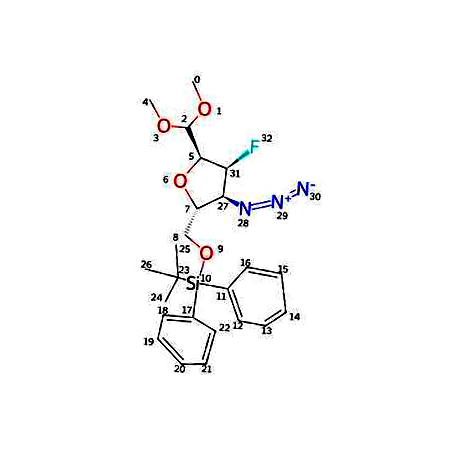 COC(OC)[C@@H]1O[C@@H](CO[Si](c2ccccc2)(c2ccccc2)C(C)(C)C)[C@H](N=[N+]=[N-])[C@@H]1F